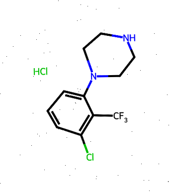 Cl.FC(F)(F)c1c(Cl)cccc1N1CCNCC1